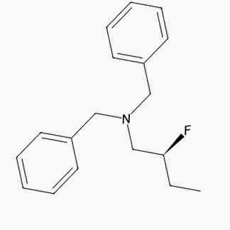 CC[C@H](F)CN(Cc1ccccc1)Cc1ccccc1